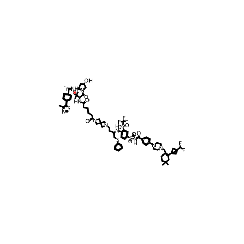 Cc1ncsc1-c1ccc([C@H](C)NC(=O)[C@@H]2C[C@@H](O)CN2C(=O)C(NC(=O)CCCCC(=O)N2CC3(CN(CCC(CSc4ccccc4)Nc4ccc(S(=O)(=O)NC(=O)c5ccc(N6CCN(CC7=C(C89CC(C(F)F)(C8)C9)CC(C)(C)CC7)CC6)cc5)cc4S(=O)(=O)C(F)(F)F)C3)C2)C(C)(C)C)cc1